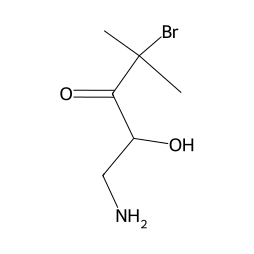 CC(C)(Br)C(=O)C(O)CN